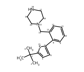 CC(C)(C)c1ccc(-c2ccccc2CN2CCNCC2)s1